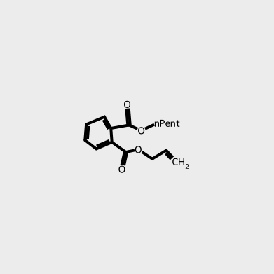 C=CCOC(=O)c1ccccc1C(=O)OCCCCC